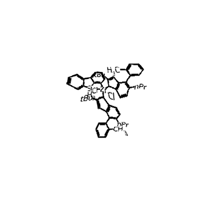 CCCc1ccc2c(c1-c1ccccc1C)C=C(C(C)(C)C)[CH]2[Zr]([Cl])([Cl])([c]1cccc2c1[SiH2]c1ccccc1-2)[CH]1C(C(C)(C)C)=Cc2c1ccc(CCC)c2-c1ccccc1C